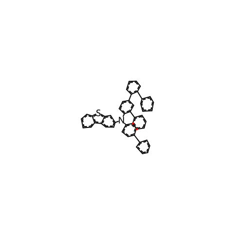 c1ccc(-c2ccc(N(c3ccc4c(c3)sc3ccccc34)c3ccc(-c4ccccc4-c4ccccc4)cc3-c3ccccc3)cc2)cc1